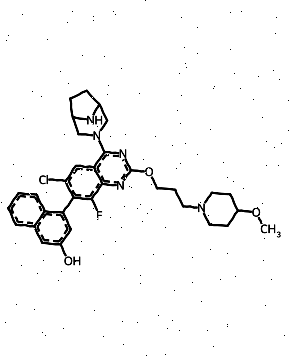 COC1CCN(CCCOc2nc(N3CC4CCC(C3)N4)c3cc(Cl)c(-c4cc(O)cc5ccccc45)c(F)c3n2)CC1